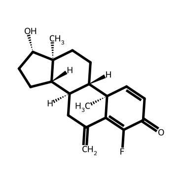 C=C1C[C@H]2[C@@H]3CC[C@H](O)[C@@]3(C)CC[C@@H]2[C@@]2(C)C=CC(=O)C(F)=C12